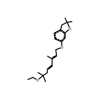 CCOC(C)(C)C/C=C/C(C)=C/COc1ccc2c(c1)OC(C)(C)C2